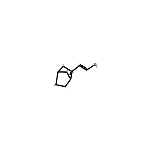 CCC=CC1=C2CCC(C1)C2